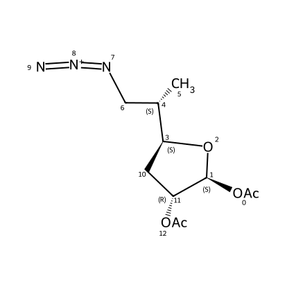 CC(=O)O[C@@H]1O[C@H]([C@@H](C)CN=[N+]=[N-])C[C@H]1OC(C)=O